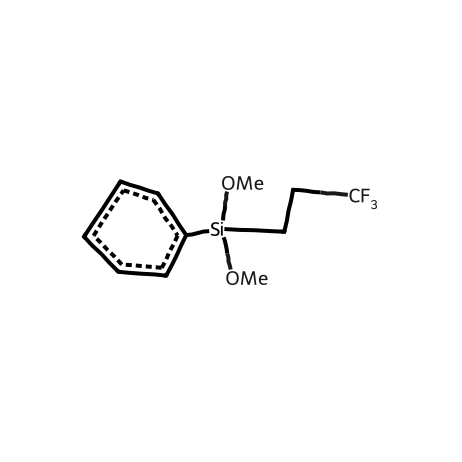 CO[Si](CCC(F)(F)F)(OC)c1ccccc1